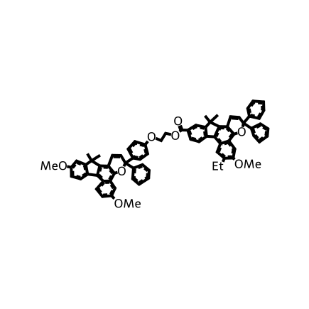 CCc1cc2c3c(c4c(c2cc1OC)OC(c1ccccc1)(c1ccccc1)C=C4)C(C)(C)c1cc(C(=O)OCCOc2ccc(C4(c5ccccc5)C=Cc5c6c(c7ccc(OC)cc7c5O4)-c4ccc(OC)cc4C6(C)C)cc2)ccc1-3